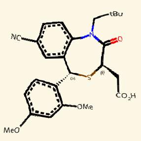 COc1ccc([C@H]2S[C@H](CC(=O)O)C(=O)N(CC(C)(C)C)c3ccc(C#N)cc32)c(OC)c1